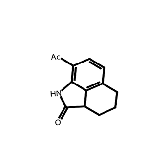 CC(=O)c1ccc2c3c1NC(=O)C3CCC2